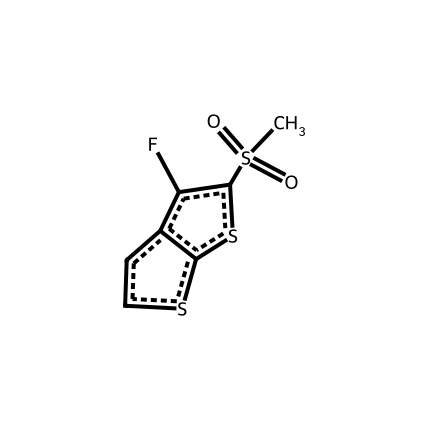 CS(=O)(=O)c1sc2sccc2c1F